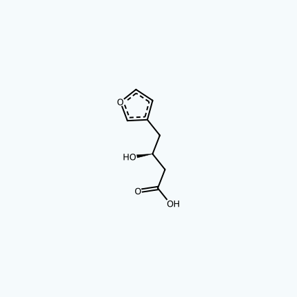 O=C(O)C[C@@H](O)Cc1ccoc1